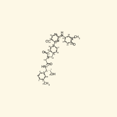 Cc1cccc([C@@H](CO)NC(=O)CN2Cc3ccc(-c4nc(Nc5ccc(=O)n(C)c5)ncc4Cl)cc3C2=O)c1